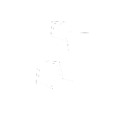 Cc1cc(Cl)cnc1Nc1ccnn1C